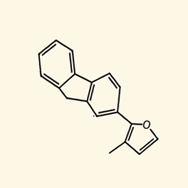 Cc1ccoc1-c1[c]c2c(cc1)-c1ccccc1C2